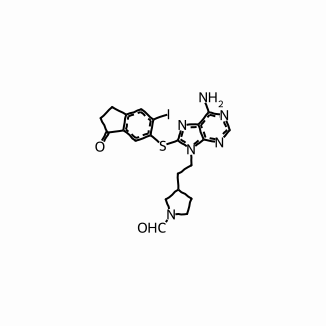 Nc1ncnc2c1nc(Sc1cc3c(cc1I)CCC3=O)n2CCC1CCN(C=O)C1